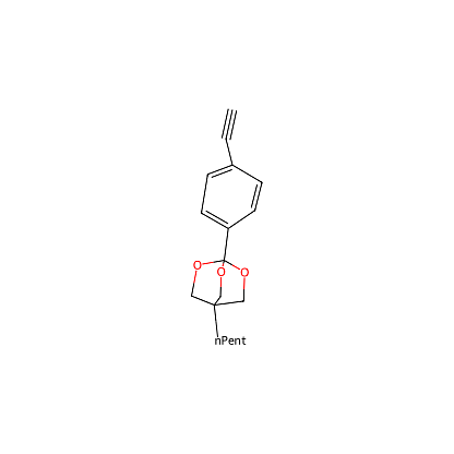 C#Cc1ccc(C23OCC(CCCCC)(CO2)CO3)cc1